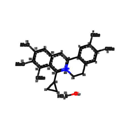 COc1cc2c(cc1OC)-c1cc3cc(OC)c(OC)c(OC)c3c(C3CC3)[n+]1CC2.O=S(=O)([O-])O